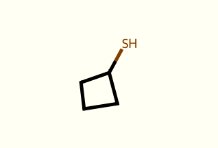 S[C]1CCC1